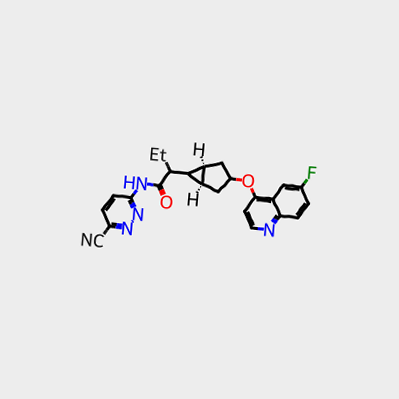 CCC(C(=O)Nc1ccc(C#N)nn1)C1[C@H]2CC(Oc3ccnc4ccc(F)cc34)C[C@@H]12